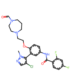 Cn1ncc(Cl)c1-c1cc(NC(=O)c2ccc(F)cc2F)ccc1OCCN1CCCN(C=O)CC1